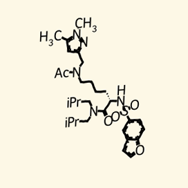 CC(=O)N(CCCC[C@H](NS(=O)(=O)c1ccc2occc2c1)C(=O)N(CC(C)C)CC(C)C)Cc1cc(C)n(C)n1